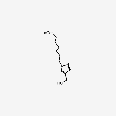 CCCCCCCCCCCCCCn1cc(CO)nn1